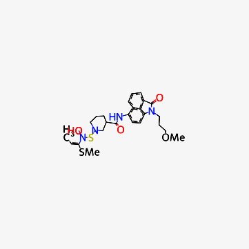 C/C=C(/SC)N(O)SN1CCCC(C(=O)Nc2ccc3c4c(cccc24)C(=O)N3CCCOC)C1